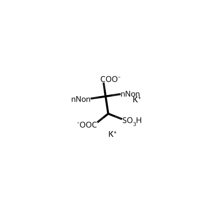 CCCCCCCCCC(CCCCCCCCC)(C(=O)[O-])C(C(=O)[O-])S(=O)(=O)O.[K+].[K+]